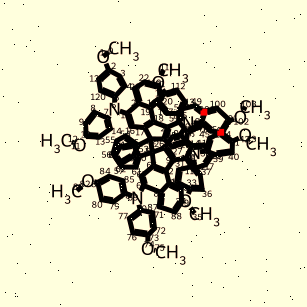 COc1ccc(N(c2ccc(OC)cc2)c2cc3c(c4ccccc24)-c2c(cc(N(c4ccc(OC)cc4)c4ccc(OC)cc4)c4ccccc24)C3(c2ccccc2)C2(c3ccccc3)c3cc(N(c4ccc(OC)cc4)c4ccc(OC)cc4)c4ccccc4c3-c3c2cc(N(c2ccc(OC)cc2)c2ccc(OC)cc2)c2ccccc32)cc1